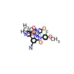 COc1ccc(-n2c([C@H]3CC(=O)CN3C(=O)OC(C)(C)C)nc3c(-c4ccc(C)nc4)cc(C#N)cc3c2=O)cc1F